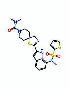 CN(C)C(=O)N1CCC2(CC1)CN=C(c1cc3cccc(N(C)S(=O)(=O)c4cccs4)c3[nH]1)S2